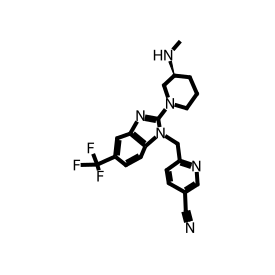 CN[C@H]1CCCN(c2nc3cc(C(F)(F)F)ccc3n2Cc2ccc(C#N)cn2)C1